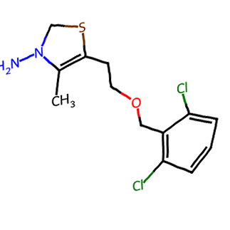 CC1=C(CCOCc2c(Cl)cccc2Cl)SCN1N